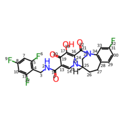 O=C(NCc1c(F)cc(F)cc1F)c1cn2c(c(O)c1=O)C(=O)N1C[C@@H]2CCc2ccc(F)cc21